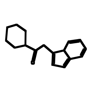 O=C(CC1=CC=C2C=CC=CC21)C1CCCCC1